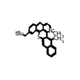 Cc1c2c(cc3ccccc13)Sc1c3cc(CC(C)(C)C)ccc3cc3cc[n+](C)c-2c13